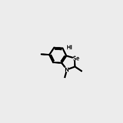 Cc1ccc2c(c1)N(C)C(C)[Se]2.I